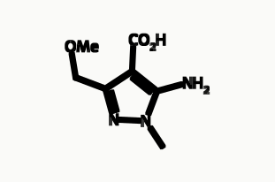 COCc1nn(C)c(N)c1C(=O)O